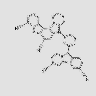 N#Cc1ccc2c(c1)c1cc(C#N)ccc1n2-c1cccc(-n2c3ccccc3c3c4c(sc5c(C#N)cccc54)c(C#N)cc32)c1